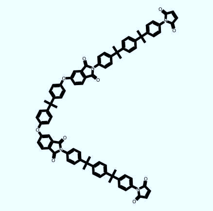 CC(C)(c1ccc(Oc2ccc3c(c2)C(=O)N(c2ccc(C(C)(C)c4ccc(C(C)(C)c5ccc(N6C(=O)C=CC6=O)cc5)cc4)cc2)C3=O)cc1)c1ccc(Oc2ccc3c(c2)C(=O)N(c2ccc(C(C)(C)c4ccc(C(C)(C)c5ccc(N6C(=O)C=CC6=O)cc5)cc4)cc2)C3=O)cc1